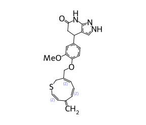 C=C1/C=C\C=C(\COc2ccc(C3CC(=O)Nc4n[nH]cc43)cc2OC)CS/C=C\1